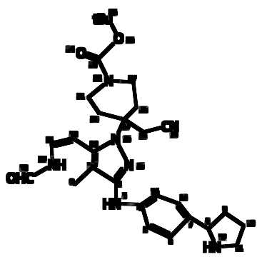 Cc1c(Nc2ccc(C3CCCN3)cc2)nn(C2(CC#N)CCN(C(=O)OC(C)(C)C)CC2)c1/C=C\NC=O